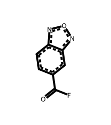 O=C(F)c1ccc2nonc2c1